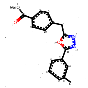 COC(=O)c1ccc(Cc2nnc(-c3cccc(C)c3)o2)cc1